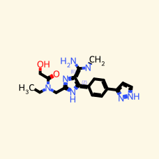 C=N/C(N)=c1/nc(CN(CC)C(=O)CO)[nH]/c1=C1\C=CC(c2cc[nH]n2)=CC1